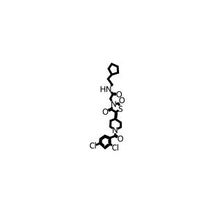 O=C(CN1C(=O)SC(=C2CCN(C(=O)c3ccc(Cl)cc3Cl)CC2)C1=O)NCCC1CCCC1